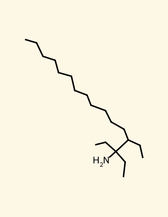 CCCCCCCCCCCCC(CC)C(N)(CC)CC